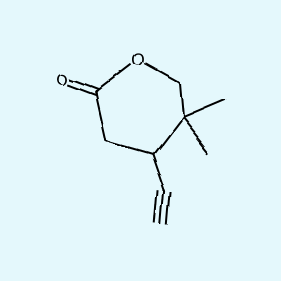 C#CC1CC(=O)OCC1(C)C